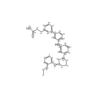 CCOc1ccccc1O[C@@H]1CCCN(c2cncc(Nc3nccc(-c4cccc(CCC(=O)O)c4)n3)n2)C1